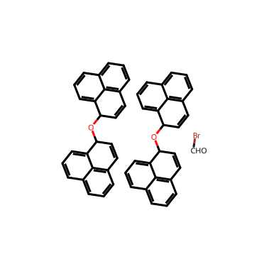 C1=CC(OC2C=Cc3cccc4cccc2c34)c2cccc3cccc1c23.C1=CC(OC2C=Cc3cccc4cccc2c34)c2cccc3cccc1c23.O=CBr